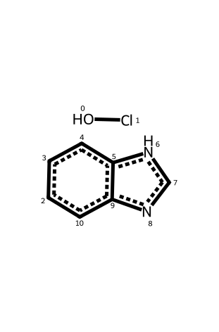 OCl.c1ccc2[nH]cnc2c1